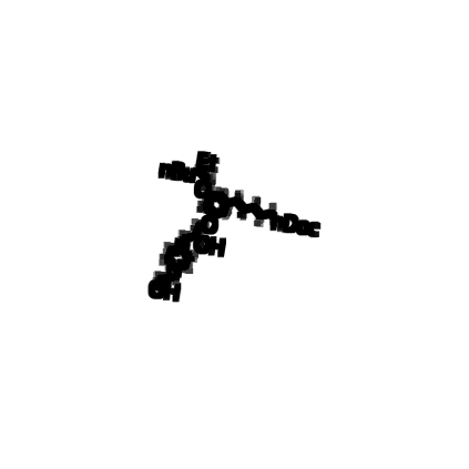 CCCCCCCCCCCCCCCc1cc(OCC(O)CN2CCN(CCO)CC2)cc(OCC(CC)CCCC)c1